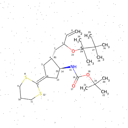 C=CC(C[C@H]1CC(=C2SCCCS2)C[C@@H]1NC(=O)OC(C)(C)C)O[Si](C)(C)C(C)(C)C